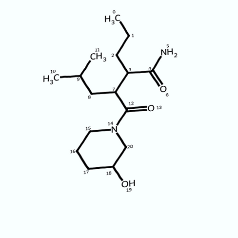 CCCC(C(N)=O)C(CC(C)C)C(=O)N1CCCC(O)C1